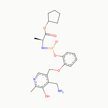 Cc1ncc(COc2ccccc2O[P+]([O-])=N[C@@H](C)C(=O)OC2CCCC2)c(CN)c1O